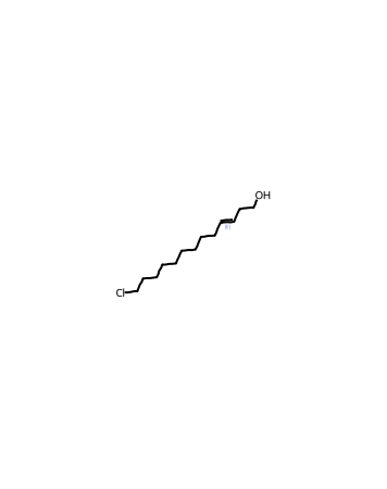 OCC/C=C/CCCCCCCCCCl